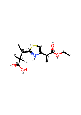 CCOC(=O)C(C)c1csc(C(C)C(C)(C)C(=O)O)n1